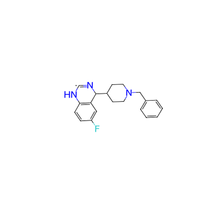 Fc1ccc2c(c1)C(C1CCN(Cc3ccccc3)CC1)N=[C]N2